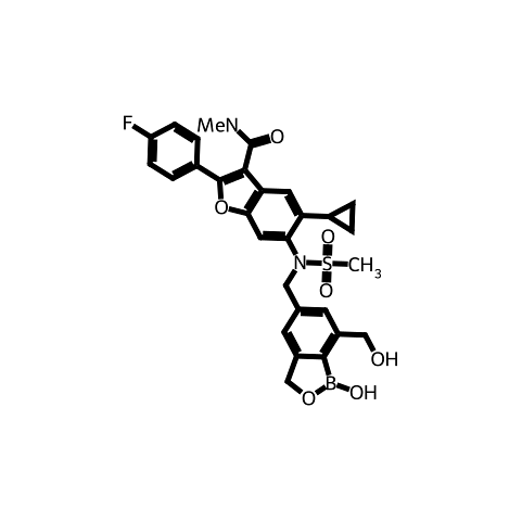 CNC(=O)c1c(-c2ccc(F)cc2)oc2cc(N(Cc3cc(CO)c4c(c3)COB4O)S(C)(=O)=O)c(C3CC3)cc12